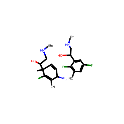 CC(C)(C)NCC(O)C1(C)C=CC(N)C(C#N)=C1F.CC(C)NCC(O)c1cc(F)cc(C#N)c1F